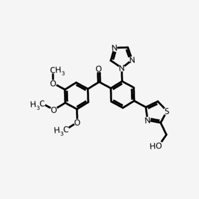 COc1cc(C(=O)c2ccc(-c3csc(CO)n3)cc2-n2cncn2)cc(OC)c1OC